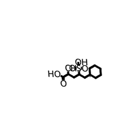 CC(CC(C[C]1CCCCC1)S(=O)(=O)O)C(=O)O